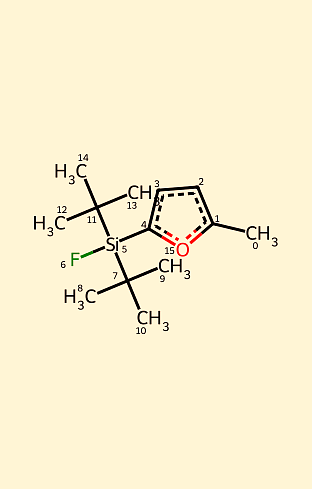 Cc1ccc([Si](F)(C(C)(C)C)C(C)(C)C)o1